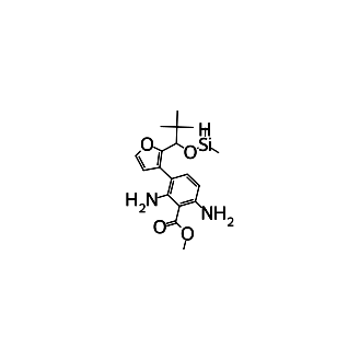 COC(=O)c1c(N)ccc(-c2ccoc2C(O[SiH](C)C)C(C)(C)C)c1N